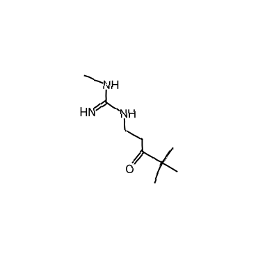 CNC(=N)NCCC(=O)C(C)(C)C